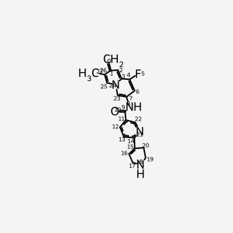 C=C1C=C2C(F)=CC(NC(=O)c3ccc(C4=CCNCC4)nc3)=CN2C=C1C